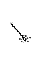 CCCCCCCCCCCCCCC(=O)C[C@@]1(O)O[C@H](CO)[C@@H](O)[C@H](O)[C@H]1O